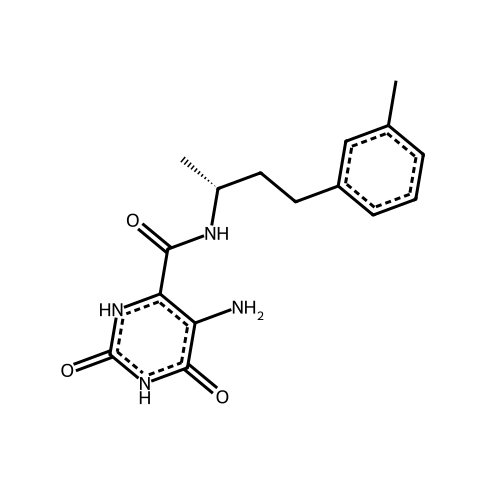 Cc1cccc(CC[C@@H](C)NC(=O)c2[nH]c(=O)[nH]c(=O)c2N)c1